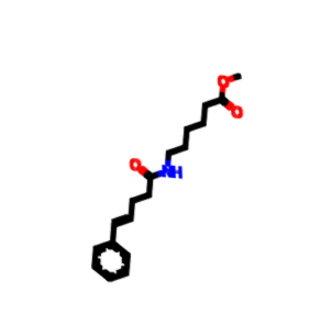 COC(=O)CCCCCNC(=O)CC/C=C/c1ccccc1